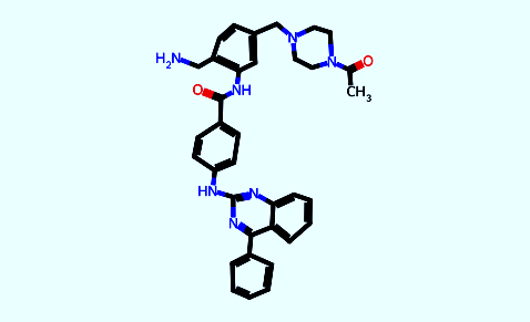 CC(=O)N1CCN(Cc2ccc(CN)c(NC(=O)c3ccc(Nc4nc(-c5ccccc5)c5ccccc5n4)cc3)c2)CC1